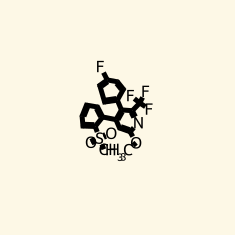 COc1cc(-c2ccccc2S(C)(=O)=O)c(-c2ccc(F)cc2)c(C(F)(F)F)n1